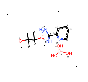 CC(C)(O)C(C)(C)O.N=C(N)c1ccccn1.OB(O)O